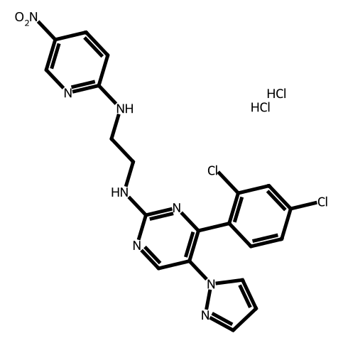 Cl.Cl.O=[N+]([O-])c1ccc(NCCNc2ncc(-n3cccn3)c(-c3ccc(Cl)cc3Cl)n2)nc1